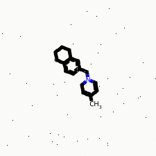 CC1=CCN(Cc2ccc3c(c2)CCC[C]3)C=C1